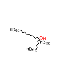 CCCCCCCCCCCCCCCCCCCC(O)(CCCCCCCCCC)CCCCCCCCCCCCCC